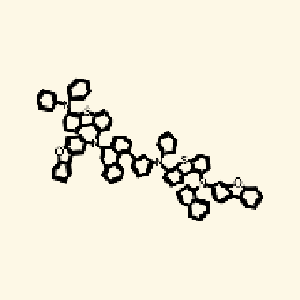 c1ccc(N(c2cccc(-c3cccc4c(N(c5ccc6oc7ccccc7c6c5)c5cccc6sc7c(N(c8ccccc8)c8ccccc8)cccc7c56)cc5ccccc5c34)c2)c2cccc3c2sc2cccc(N(c4ccc5c(c4)oc4ccccc45)c4cccc5ccccc45)c23)cc1